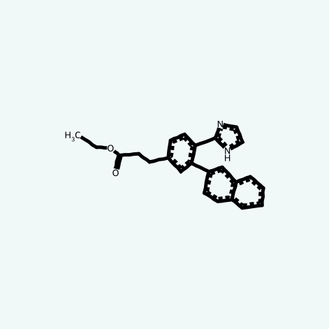 CCOC(=O)CCc1ccc(-c2ncc[nH]2)c(-c2ccc3ccccc3c2)c1